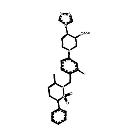 COC1CN(c2ccc(CN3C(C)CCC(c4ccccc4)S3(=O)=O)c(F)c2)CCC1n1cnnc1